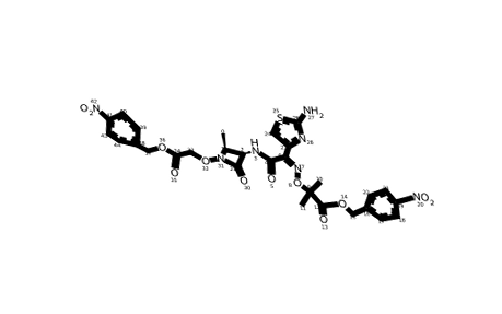 C[C@H]1[C@H](NC(=O)C(=NOC(C)(C)C(=O)OCc2ccc([N+](=O)[O-])cc2)c2csc(N)n2)C(=O)N1OCC(=O)OCc1ccc([N+](=O)[O-])cc1